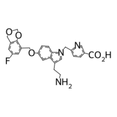 NCCc1cn(Cc2ccc(C(=O)O)cn2)c2ccc(OCc3cc(F)cc4c3OCOC4)cc12